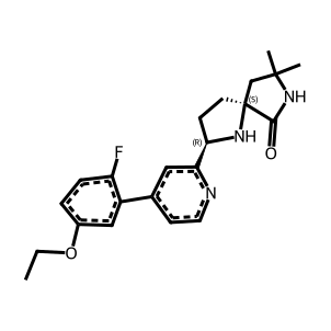 CCOc1ccc(F)c(-c2ccnc([C@H]3CC[C@@]4(CC(C)(C)NC4=O)N3)c2)c1